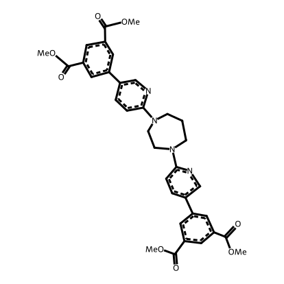 COC(=O)c1cc(C(=O)OC)cc(-c2ccc(N3CCCN(c4ccc(-c5cc(C(=O)OC)cc(C(=O)OC)c5)cn4)CC3)nc2)c1